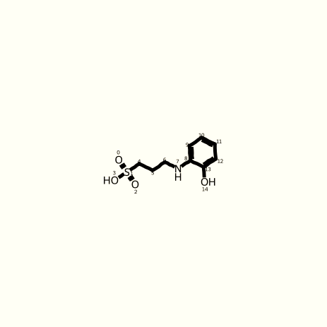 O=S(=O)(O)CCCNc1ccccc1O